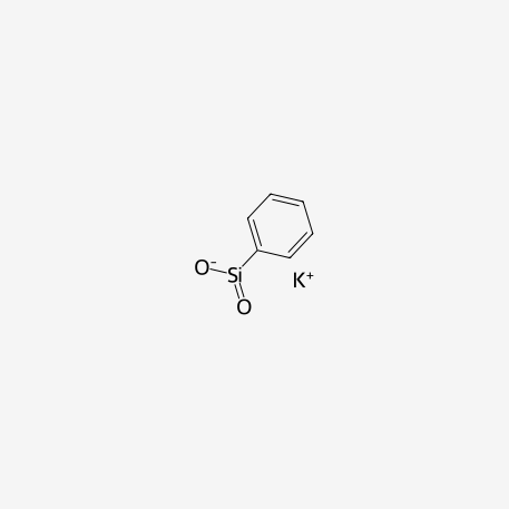 O=[Si]([O-])c1ccccc1.[K+]